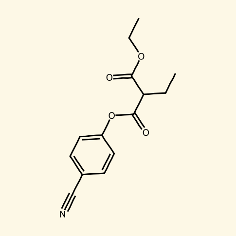 CCOC(=O)C(CC)C(=O)Oc1ccc(C#N)cc1